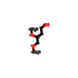 O=C(O)OCC(CCO)OC(=O)O